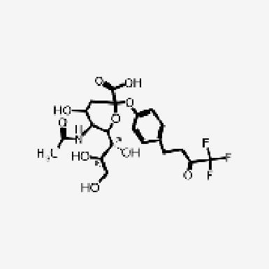 CC(=O)NC1C(O)CC(Oc2ccc(CCC(=O)C(F)(F)F)cc2)(C(=O)O)OC1[C@H](O)[C@H](O)CO